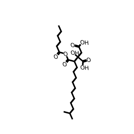 CCCCCC(=O)OC(=O)C(CCCCCCCCCC(C)C)C(O)(CC(=O)O)C(=O)O